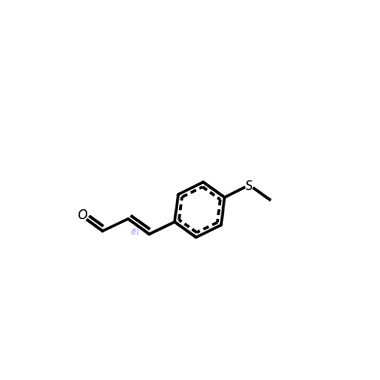 CSc1ccc(/C=C/C=O)cc1